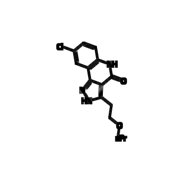 CCCOCCc1[nH]nc2c1c(=O)[nH]c1ccc(Cl)cc12